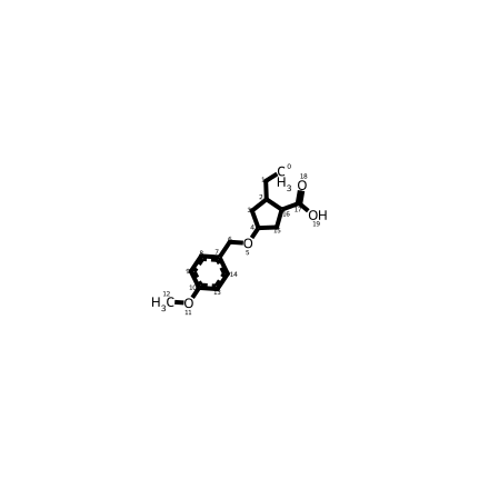 CCC1CC(OCc2ccc(OC)cc2)CC1C(=O)O